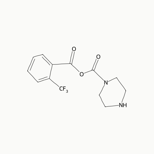 O=C(OC(=O)N1CCNCC1)c1ccccc1C(F)(F)F